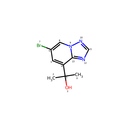 CC(C)(O)c1cc(Br)cn2ncnc12